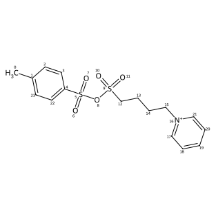 Cc1ccc(S(=O)(=O)OS(=O)(=O)CCCC[n+]2ccccc2)cc1